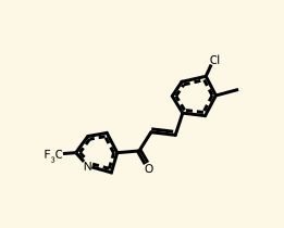 Cc1cc(/C=C/C(=O)c2ccc(C(F)(F)F)nc2)ccc1Cl